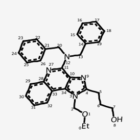 CCOCn1c(CCCO)nc2c(N(Cc3ccccc3)Cc3ccccc3)nc3ccccc3c21